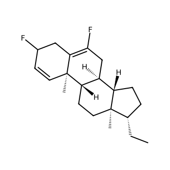 CC[C@H]1CC[C@H]2[C@@H]3CC(F)=C4CC(F)C=C[C@]4(C)[C@H]3CC[C@]12C